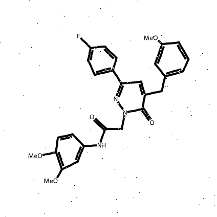 COc1cccc(Cc2cc(-c3ccc(F)cc3)nn(CC(=O)Nc3ccc(OC)c(OC)c3)c2=O)c1